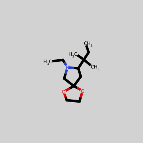 CCN1CC2(CC1C(C)(C)CC)OCCO2